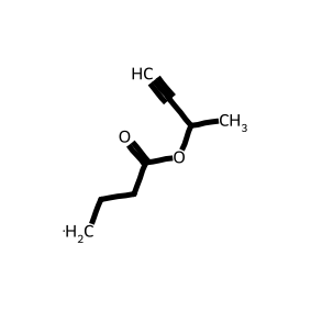 C#CC(C)OC(=O)CC[CH2]